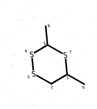 CC1CSSC(C)S1